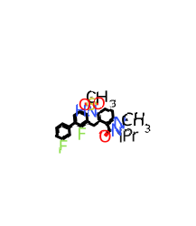 CC(C)n1c(=O)c2c(n1C)CCC(NS(C)(=O)=O)C2Cc1cccc(-c2cccc(F)c2)c1F